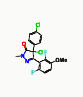 COc1ccc(F)c(C2=NN(C)C(=O)C2(Cl)c2ccc(Cl)cc2)c1F